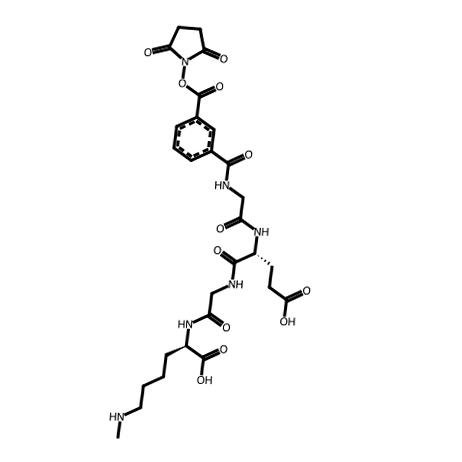 CNCCCC[C@@H](NC(=O)CNC(=O)[C@@H](CCC(=O)O)NC(=O)CNC(=O)c1cccc(C(=O)ON2C(=O)CCC2=O)c1)C(=O)O